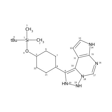 CC(C)(C)[Si](C)(C)OC1CCC(C2=C3c4cc[nH]c4N=CN3NN2)CC1